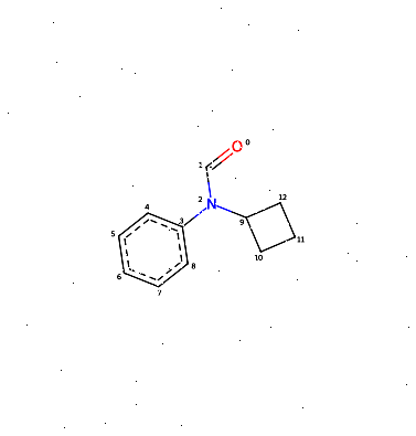 O=[C]N(c1ccccc1)C1CCC1